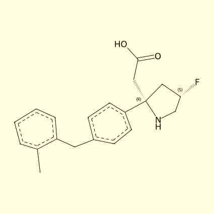 Cc1ccccc1Cc1ccc([C@@]2(CC(=O)O)C[C@H](F)CN2)cc1